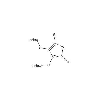 CCCCCCOc1c(Br)sc(Br)c1OCCCCCC